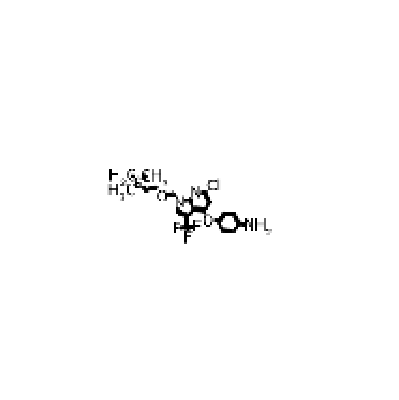 CS(C)(C)CCOCn1cc(C(F)(F)F)c2c(Oc3ccc(N)cc3)cc(Cl)nc21